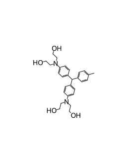 Cc1ccc(C(c2ccc(N(CCO)CCO)cc2)c2ccc(N(CCO)CCO)cc2)cc1